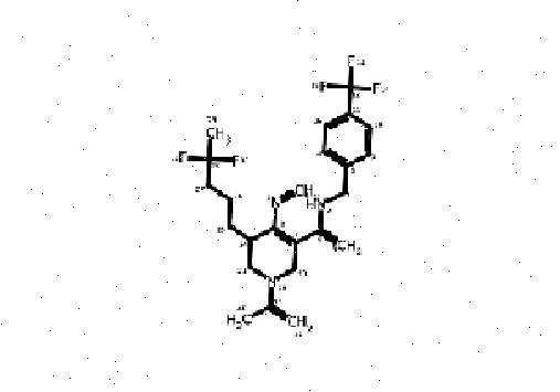 C=NC1=C(C(=C)NCc2ccc(C(F)(F)F)cc2)CN(C(=C)C)CC1CCCC(C)(F)F